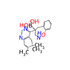 CC1=Cc2ncnc(C3(B(O)O)CNOc4ccccc4C3)c2CC1(C)C